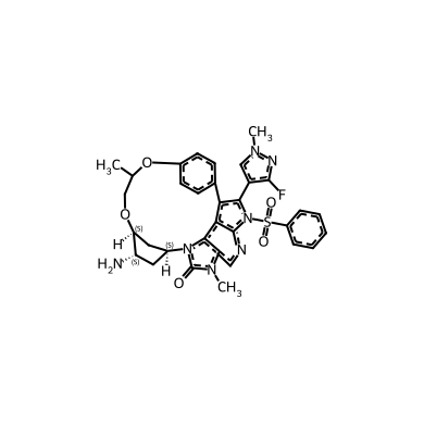 CC1CO[C@H]2C[C@H](C[C@@H]2N)n2c(=O)n(C)c3cnc4c(c(c(-c5cn(C)nc5F)n4S(=O)(=O)c4ccccc4)-c4ccc(cc4)O1)c32